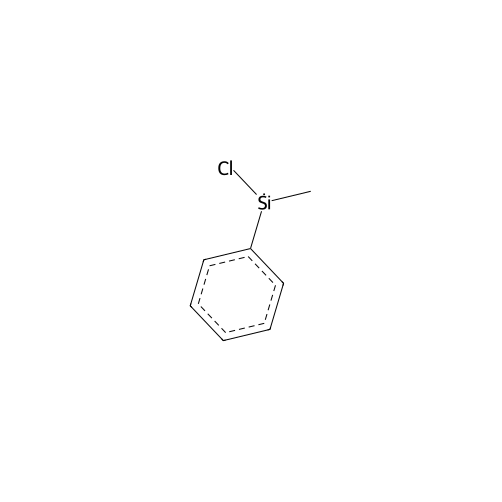 C[Si](Cl)c1ccccc1